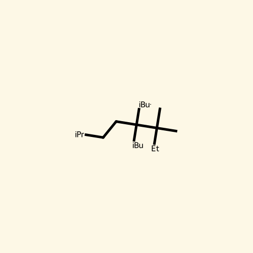 CC[C](C)C(CCC(C)C)(C(C)CC)C(C)(C)CC